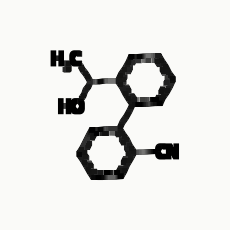 CC(O)c1ccccc1-c1ccccc1C#N